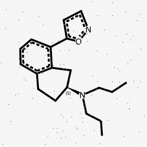 CCCN(CCC)[C@H]1CCc2cccc(-c3ccno3)c2C1